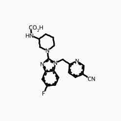 N#Cc1ccc(Cn2c(N3CCCC(NC(=O)O)C3)nc3cc(F)ccc32)nc1